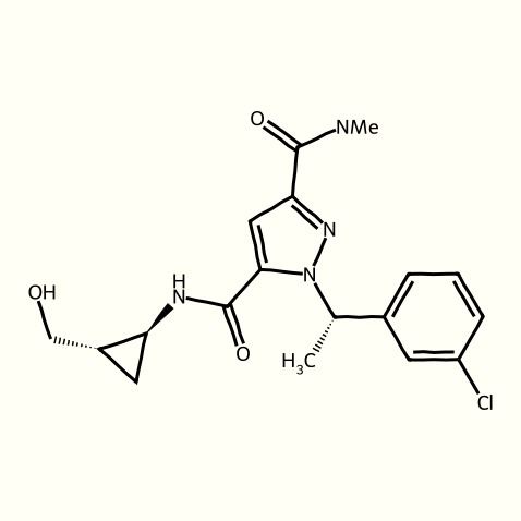 CNC(=O)c1cc(C(=O)N[C@H]2C[C@@H]2CO)n([C@@H](C)c2cccc(Cl)c2)n1